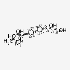 C[C@H](O)c1nccn1C(C#Cc1ccc(-c2ccc(OCC(O)CCCO)cc2)cc1)CO